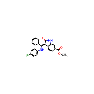 COC(=O)c1ccc2c(c1)NC(=O)C2=C(Nc1ccc(F)cc1)c1ccccc1